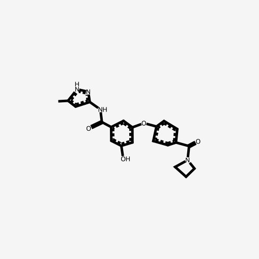 Cc1cc(NC(=O)c2cc(O)cc(Oc3ccc(C(=O)N4CCC4)cc3)c2)n[nH]1